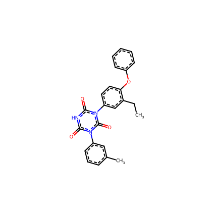 CCc1cc(-n2c(=O)[nH]c(=O)n(-c3cccc(C)c3)c2=O)ccc1Oc1ccccc1